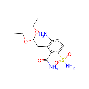 CCOC(Cc1c(N)ccc(S(N)(=O)=O)c1C(N)=O)OCC